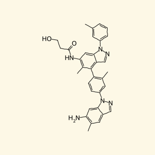 Cc1cccc(-n2ncc3c(-c4ccc(-n5ncc6cc(C)c(N)cc65)cc4C)c(C)c(NC(=O)CCO)cc32)c1